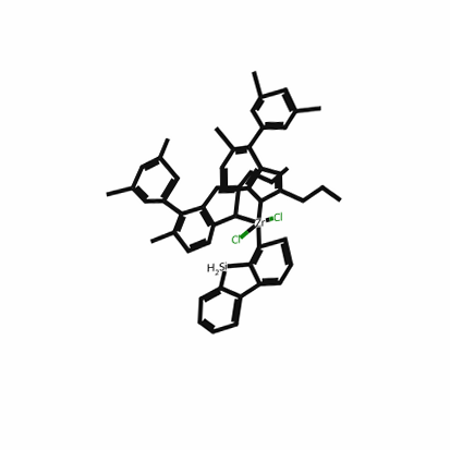 CCCC1=Cc2c(ccc(C)c2-c2cc(C)cc(C)c2)[CH]1[Zr]([Cl])([Cl])([c]1cccc2c1[SiH2]c1ccccc1-2)[CH]1C(CCC)=Cc2c1ccc(C)c2-c1cc(C)cc(C)c1